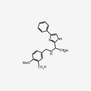 COc1ccc(CNC(C)c2nc(-c3ccccc3)c[nH]2)cc1C(=O)O.Cl